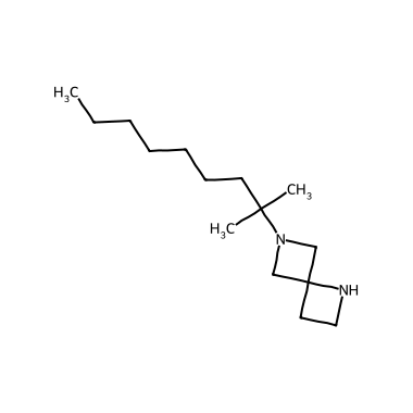 CCCCCCCC(C)(C)N1CC2(CCN2)C1